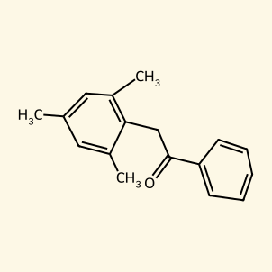 Cc1cc(C)c(CC(=O)c2ccccc2)c(C)c1